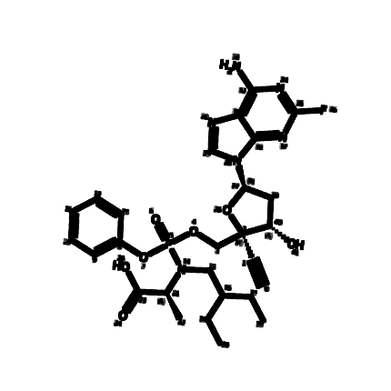 C#C[C@]1(COP(=O)(Oc2ccccc2)N(CC(CC)CC)[C@@H](C)C(=O)O)O[C@@H](n2cnc3c(N)nc(F)nc32)C[C@@H]1O